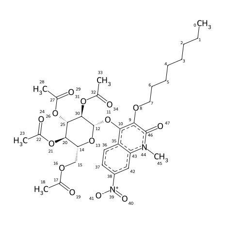 CCCCCCCCOc1c(O[C@@H]2O[C@H](COC(C)=O)[C@@H](OC(C)=O)[C@H](OC(C)=O)[C@H]2OC(C)=O)c2ccc([N+](=O)[O-])cc2n(C)c1=O